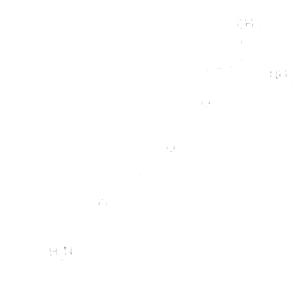 CC(N)COCOCCOCN